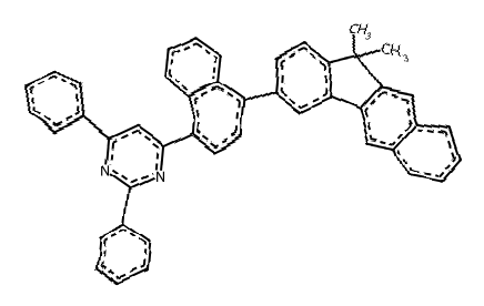 CC1(C)c2ccc(-c3ccc(-c4cc(-c5ccccc5)nc(-c5ccccc5)n4)c4ccccc34)cc2-c2cc3ccccc3cc21